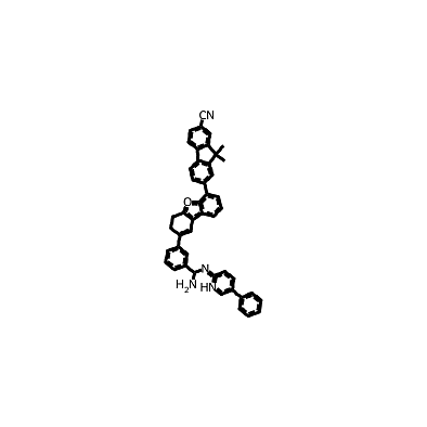 CC1(C)c2cc(C#N)ccc2-c2ccc(-c3cccc4c5c(oc34)CCC(c3cccc(C(N)/N=c4/ccc(-c6ccccc6)c[nH]4)c3)=C5)cc21